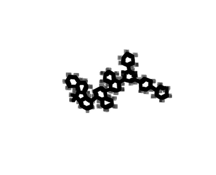 CC1(C)c2cccc(-c3ccc(-c4ccc(-c5cc(-c6ccc(-c7cccnc7)cc6)nc(-c6ccccc6)n5)c5ccccc45)c4ccccc34)c2-c2ccc3ccccc3c21